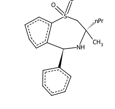 CCC[C@@]1(C)CS(=O)(=O)c2ccccc2[C@H](c2ccccc2)N1